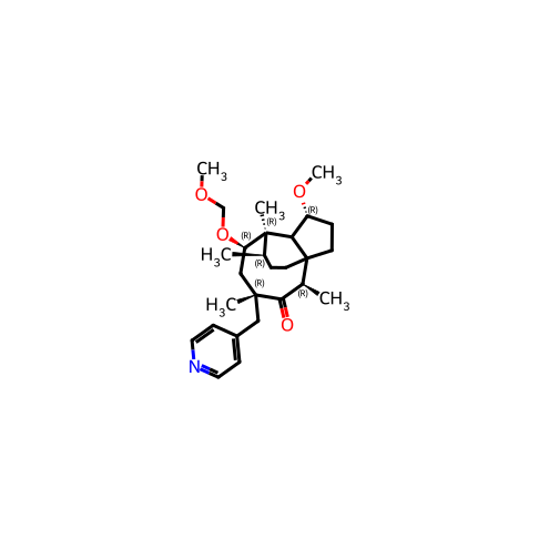 COCO[C@@H]1C[C@@](C)(Cc2ccncc2)C(=O)[C@H](C)C23CC[C@@H](C)[C@]1(C)C2[C@H](OC)CC3